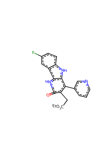 CCOC(=O)Cc1c(-c2cccnc2)c2[nH]c3ccc(F)cc3c2[nH]c1=O